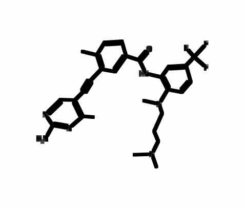 Cc1ccc(C(=O)Nc2cc(C(F)(F)F)ccc2N(C)CCCN(C)C)cc1C#Cc1cnc(N)nc1C